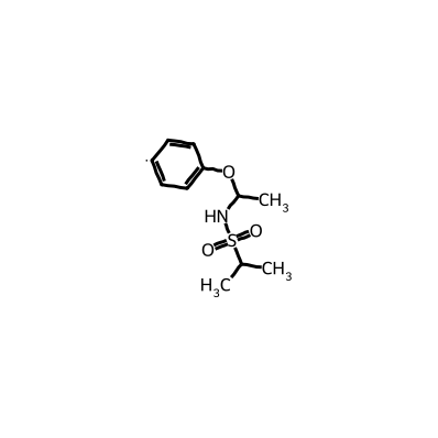 CC(NS(=O)(=O)C(C)C)Oc1cc[c]cc1